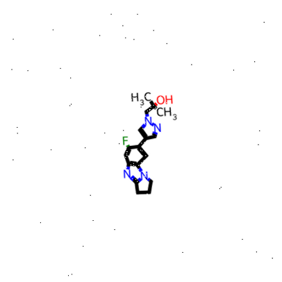 CC(C)(O)Cn1cc(-c2cc3c(cc2F)nc2n3CCC2)cn1